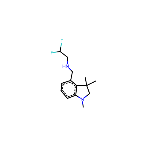 CN1CC(C)(C)c2c(CNCC(F)F)cccc21